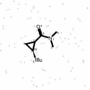 CN(C)C(=O)C1C[C@@H]1C(C)(C)C